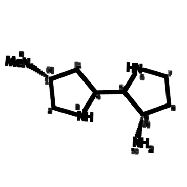 CN[C@H]1CNC(C2NCC[C@@H]2N)C1